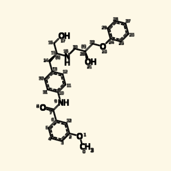 COc1cccc(C(=O)Nc2ccc(C[C@@H](CO)NC[C@H](O)COc3ccccc3)cc2)c1